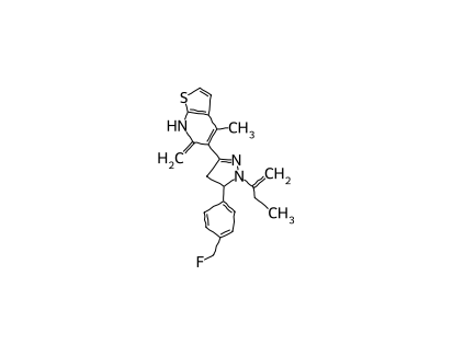 C=C1Nc2sccc2C(C)=C1C1=NN(C(=C)CC)C(c2ccc(CF)cc2)C1